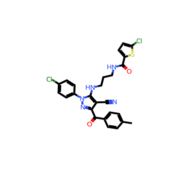 Cc1ccc(C(=O)c2nn(-c3ccc(Cl)cc3)c(NCCCNC(=O)c3ccc(Cl)s3)c2C#N)cc1